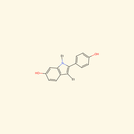 CCc1c(-c2ccc(O)cc2)n(CC)c2cc(O)ccc12